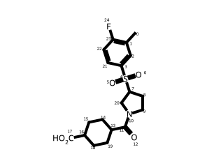 Cc1cc(S(=O)(=O)C2CCN(C(=O)C3CCC(C(=O)O)CC3)C2)ccc1F